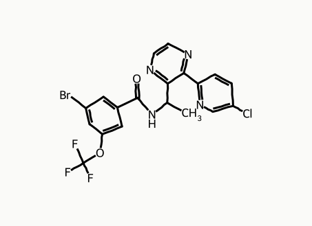 CC(NC(=O)c1cc(Br)cc(OC(F)(F)F)c1)c1nccnc1-c1ccc(Cl)cn1